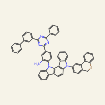 Nc1cc(-c2nc(-c3ccccc3)nc(-c3cccc(-c4ccccc4)c3)n2)ccc1-n1c2ccccc2c2ccc3c(c4ccccc4n3-c3ccc4c(c3)-c3ccccc3SC4)c21